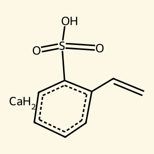 C=Cc1ccccc1S(=O)(=O)O.[CaH2]